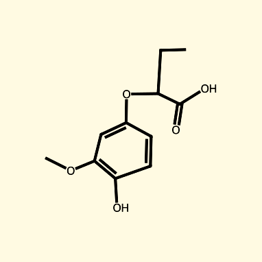 CCC(Oc1ccc(O)c(OC)c1)C(=O)O